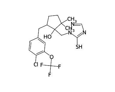 CC1(C)CCC(Cc2ccc(Cl)c(OC(F)(F)F)c2)C1(O)Cn1ncnc1S